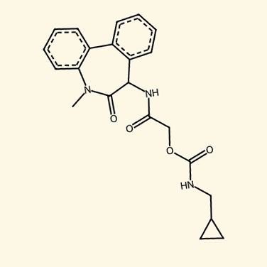 CN1C(=O)C(NC(=O)COC(=O)NCC2CC2)c2ccccc2-c2ccccc21